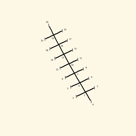 IC(I)(I)C(I)(I)C(I)(I)C(I)(I)C(I)(I)C(I)(I)C(I)(I)I